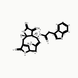 C=C1C(=O)O[C@H]2CC3=C[C@@H](C/C(C)=C/[C@@H](OC(=O)Cc4csc5ccccc45)[C@H]12)OC3=O